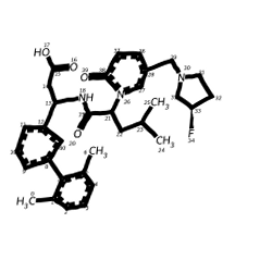 Cc1cccc(C)c1-c1cccc(C(CC(=O)O)NC(=O)C(CC(C)C)n2cc(CN3CC[C@@H](F)C3)ccc2=O)c1